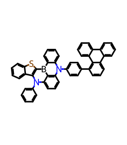 c1ccc(N2c3cccc4c3B(c3ccccc3N4c3ccc(-c4cccc5c6ccccc6c6ccccc6c45)cc3)c3sc4ccccc4c32)cc1